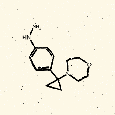 NNc1ccc(C2(N3CCOCC3)CC2)cc1